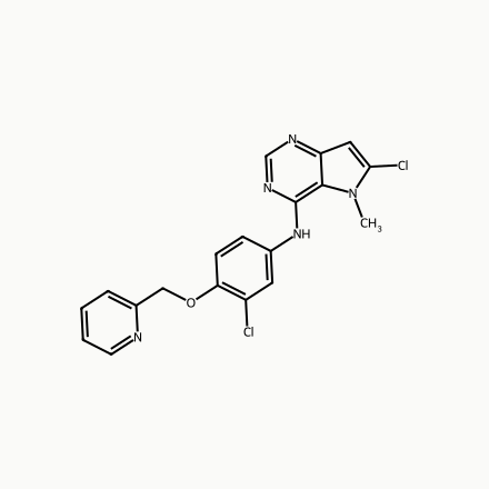 Cn1c(Cl)cc2ncnc(Nc3ccc(OCc4ccccn4)c(Cl)c3)c21